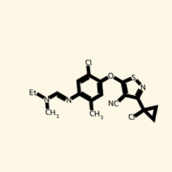 CCN(C)C=Nc1cc(Cl)c(Oc2snc(C3(Cl)CC3)c2C#N)cc1C